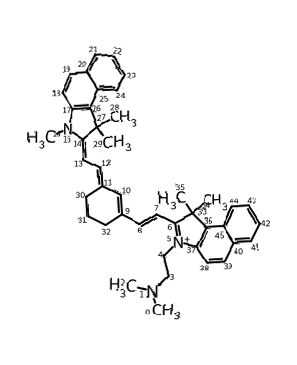 CN(C)CC[N+]1=C(/C=C/C2=CC(=C/C=C3/N(C)c4ccc5ccccc5c4C3(C)C)/CCC2)C(C)(C)c2c1ccc1ccccc21